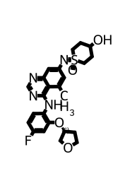 Cc1cc(N=S2(=O)CCC(O)CC2)cc2ncnc(Nc3ccc(F)cc3O[C@H]3CCOC3)c12